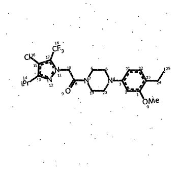 COc1cc(N2CCN(C(=O)Cn3nc(C(C)C)c(Cl)c3C(F)(F)F)CC2)ccc1CI